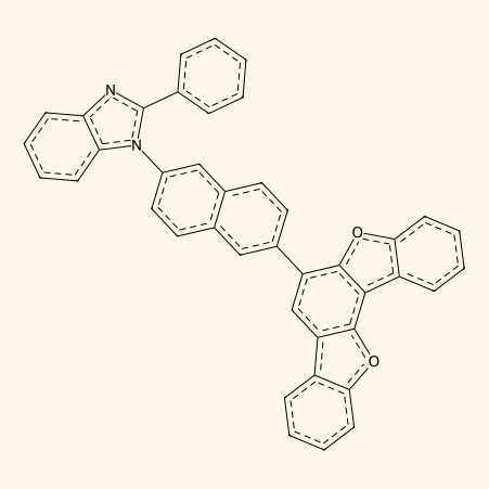 c1ccc(-c2nc3ccccc3n2-c2ccc3cc(-c4cc5c6ccccc6oc5c5c4oc4ccccc45)ccc3c2)cc1